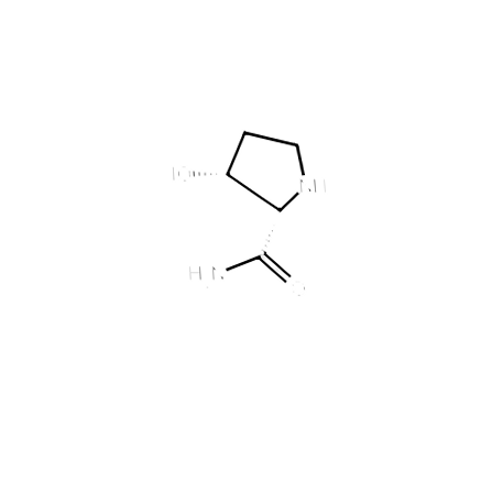 NC(=O)[C@H]1NCC[C@H]1O